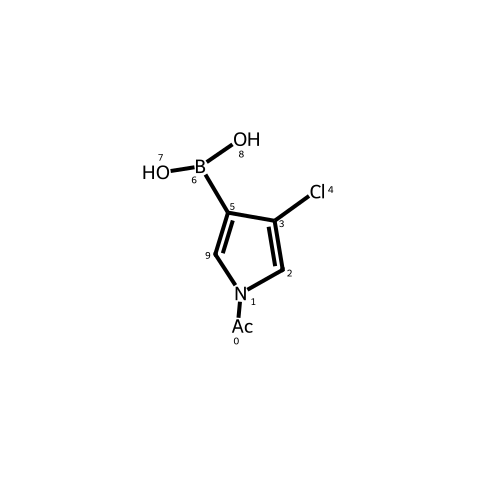 CC(=O)n1cc(Cl)c(B(O)O)c1